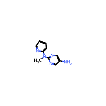 CN(c1ccccn1)c1ncc(N)cn1